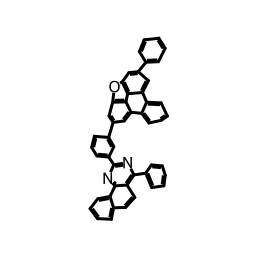 c1ccc(-c2cc3oc4cc(-c5cccc(-c6nc(-c7ccccc7)c7ccc8ccccc8c7n6)c5)cc5c6ccccc6c(c2)c3c45)cc1